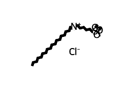 CCCCCCCCCCCCCCCCCC[N+](C)(C)CCCCCC[Si](OC)(OC)OC.[Cl-]